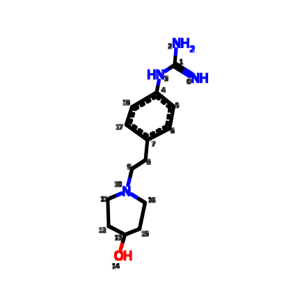 N=C(N)Nc1ccc(CCN2CCC(O)CC2)cc1